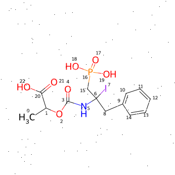 CC(OC(=O)NC(I)(Cc1ccccc1)CP(=O)(O)O)C(=O)O